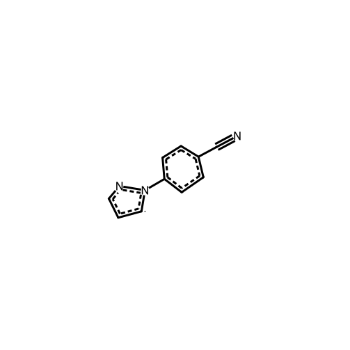 N#Cc1ccc(-n2[c]ccn2)cc1